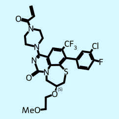 C=CC(=O)N1CCN(c2nc(=O)n3c4c(c(-c5ccc(F)c(Cl)c5)c(C(F)(F)F)cc24)SC[C@@H](OCCOC)C3)CC1